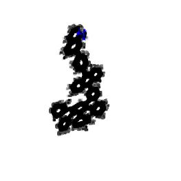 c1ccc(-c2cc(-c3cccc(-c4c5ccccc5c(-c5ccc(-c6ccc7cccnc7c6)cc5)c5ccccc45)c3)c(-c3ccccc3)c(-c3ccccc3)c2-c2ccccc2)cc1